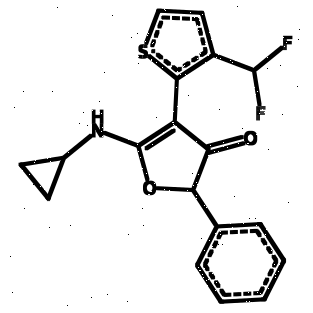 O=C1C(c2sccc2C(F)F)=C(NC2CC2)OC1c1ccccc1